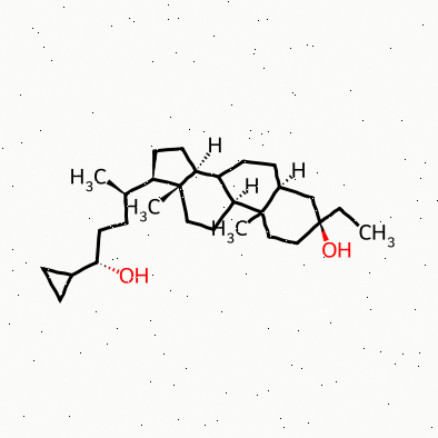 CC[C@]1(O)CCC2(C)[C@@H](CCC3[C@@H]2CC[C@]2(C)[C@@H]([C@H](C)CC[C@H](O)C4CC4)CC[C@@H]32)C1